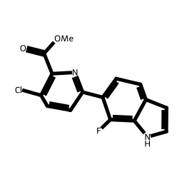 COC(=O)c1nc(-c2ccc3cc[nH]c3c2F)ccc1Cl